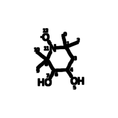 CC1(C)CC(O)C(O)C(C)(C)N1[O]